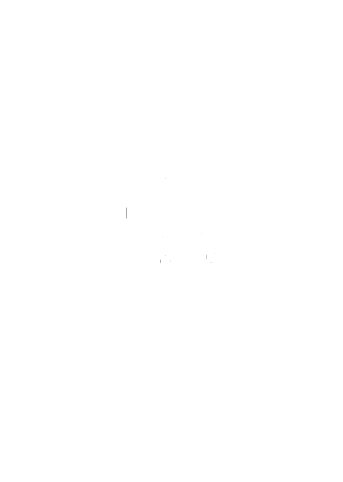 CC1Oc2cccc(I)c2O1